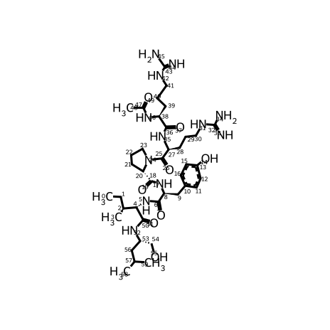 CC[C@H](C)[C@H](NC(=O)[C@H](Cc1ccc(O)cc1)NC(=O)[C@@H]1CCCN1C(=O)[C@H](CCCNC(=N)N)NC(=O)[C@H](CCCNC(=N)N)NC(C)=O)C(=O)N[C@H](CO)CC(C)C